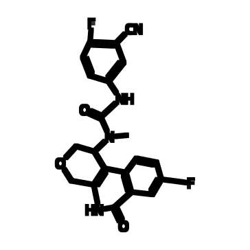 CN(C(=O)Nc1ccc(F)c(C#N)c1)C1COCc2[nH]c(=O)c3cc(F)ccc3c21